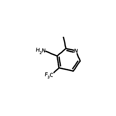 Cc1nccc(C(F)(F)F)c1N